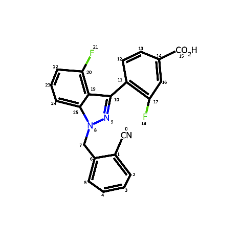 N#Cc1ccccc1Cn1nc(-c2ccc(C(=O)O)cc2F)c2c(F)cccc21